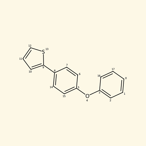 c1ccc(Oc2ccc(-c3cccs3)cc2)cc1